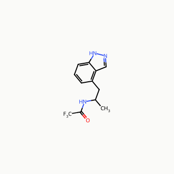 CC(Cc1cccc2[nH]ncc12)NC(=O)C(F)(F)F